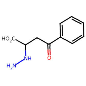 NNC(CC(=O)c1ccccc1)C(=O)O